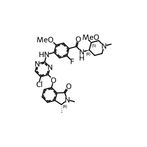 COc1cc(C(=O)N[C@@H]2CCN(C)C[C@@H]2OC)c(F)cc1Nc1ncc(Cl)c(Oc2cccc3c2C(=O)N(C)[C@@H]3C)n1